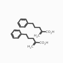 C=C(CCCc1ccccc1)C(=O)O.C=C(CCCc1ccccc1)C(=O)O